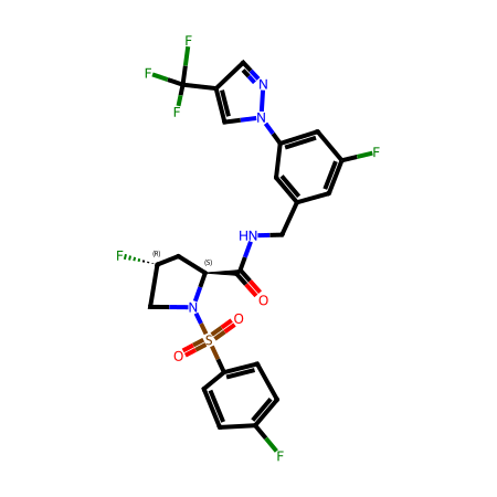 O=C(NCc1cc(F)cc(-n2cc(C(F)(F)F)cn2)c1)[C@@H]1C[C@@H](F)CN1S(=O)(=O)c1ccc(F)cc1